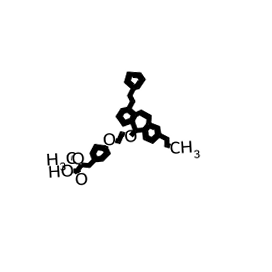 CCCc1ccc2c(c1)C=Cc1c(CCc3ccccc3)cccc1C2OCCOc1ccc(CC(OC)C(=O)O)cc1